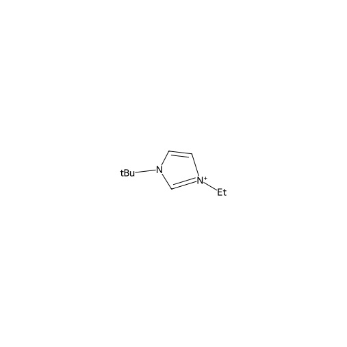 CC[n+]1ccn(C(C)(C)C)c1